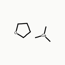 C1CCOC1.[CH3][Ga]([CH3])[CH3]